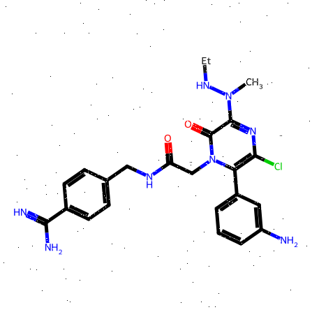 CCNN(C)c1nc(Cl)c(-c2cccc(N)c2)n(CC(=O)NCc2ccc(C(=N)N)cc2)c1=O